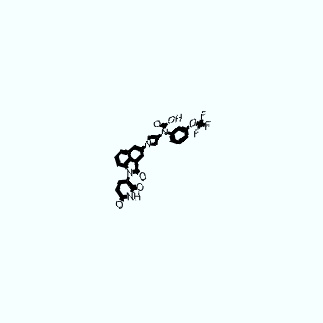 O=C1CCC(N2C(=O)c3cc(N4CC(N(C(=O)O)c5cccc(OC(F)(F)F)c5)C4)cc4cccc2c34)C(=O)N1